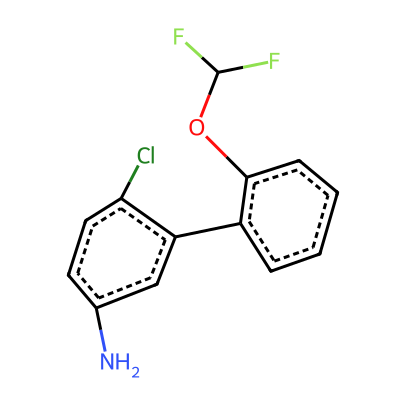 Nc1ccc(Cl)c(-c2ccccc2OC(F)F)c1